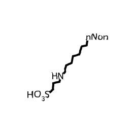 CCCCCCCCCCCCCCCCNCCCS(=O)(=O)O